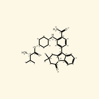 CC(C)[C@H](N)C(=O)O[C@H]1CC[C@H](Nc2cc(-c3c4n(c5ccccc35)C(=O)CC(C)(C)C4)ccc2C(N)=O)CC1